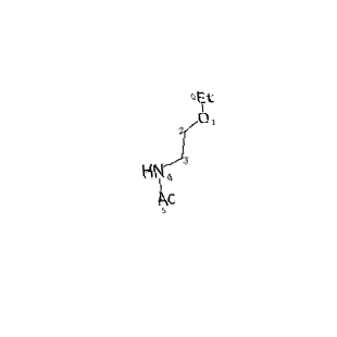 CCOCCNC(C)=O